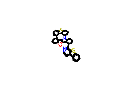 c1ccc2c(c1)sc1c(-c3cccc4c3c3oc5cccc6c7cccc8sc9cccc(c9c87)n4c3c56)nccc12